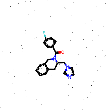 O=C(c1ccc(F)cc1)N1Cc2ccccc2CC1Cn1ccnc1